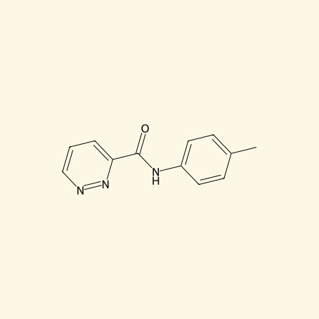 Cc1ccc(NC(=O)c2cccnn2)cc1